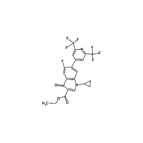 CCOC(=O)c1cn(C2CC2)c2cc(-c3cc(C(F)(F)F)nc(C(F)(F)F)c3)c(F)cc2c1=O